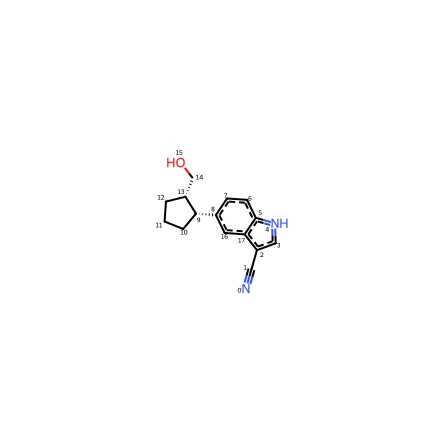 N#Cc1c[nH]c2ccc([C@@H]3CCC[C@@H]3CO)cc12